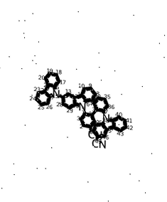 N#Cc1ccc(-n2c3ccccc3c3cc(-n4c5ccccc5c5ccccc54)ccc32)c(-c2ccccc2-n2c3ccccc3c3cc(C#N)ccc32)c1